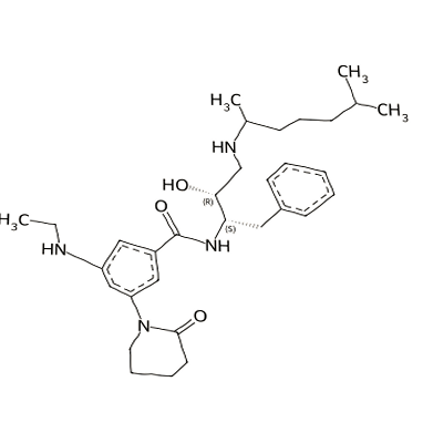 CCNc1cc(C(=O)N[C@@H](Cc2ccccc2)[C@H](O)CNC(C)CCCC(C)C)cc(N2CCCCC2=O)c1